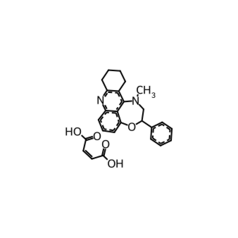 CN1CC(c2ccccc2)Oc2cccc3nc4c(c1c23)CCCC4.O=C(O)/C=C\C(=O)O